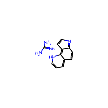 N=C(N)N.c1c[nH]c2c(c1)ccc1nccc12